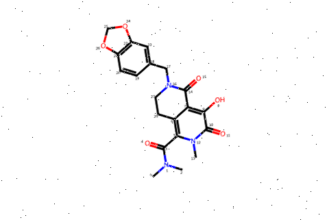 CN(C)C(=O)c1c2c(c(O)c(=O)n1C)C(=O)N(Cc1ccc3c(c1)OCO3)CC2